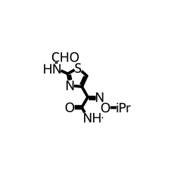 CC(C)ON=C(C([NH])=O)c1csc(NC=O)n1